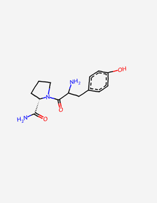 NC(=O)[C@@H]1CCCN1C(=O)C(N)Cc1ccc(O)cc1